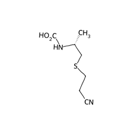 C[C@H](CSCCC#N)NC(=O)O